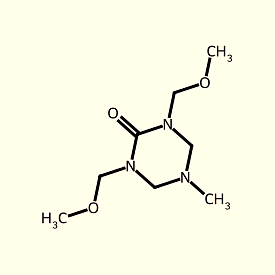 COCN1CN(C)CN(COC)C1=O